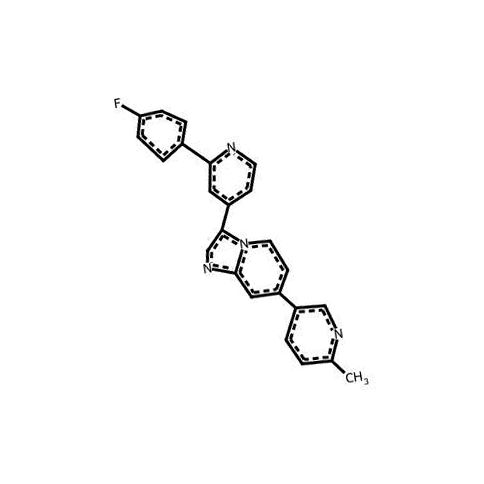 Cc1ccc(-c2ccn3c(-c4ccnc(-c5ccc(F)cc5)c4)cnc3c2)cn1